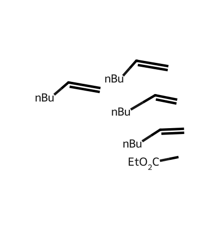 C=CCCCC.C=CCCCC.C=CCCCC.C=CCCCC.CCOC(C)=O